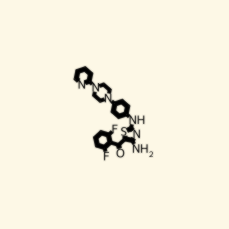 Nc1nc(Nc2ccc(N3CCN(c4ccccn4)CC3)cc2)sc1C(=O)c1c(F)cccc1F